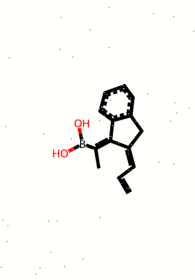 C=C/C=C1/Cc2ccccc2/C1=C(/C)B(O)O